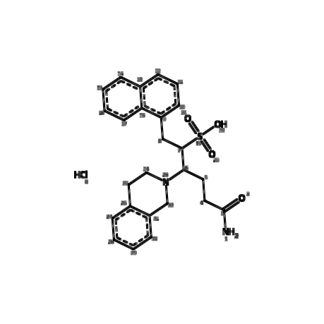 Cl.NC(=O)CCC(C(Cc1cccc2ccccc12)S(=O)(=O)O)N1CCc2ccccc2C1